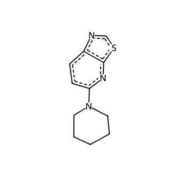 c1nc2ccc(N3CCCCC3)nc2s1